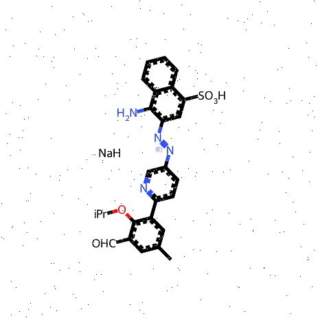 Cc1cc(C=O)c(OC(C)C)c(-c2ccc(/N=N/c3cc(S(=O)(=O)O)c4ccccc4c3N)cn2)c1.[NaH]